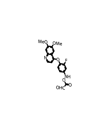 COc1cc2nccc(Oc3ccc(NOC(=O)C=O)cc3F)c2cc1OC